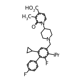 Cc1c(C(=O)O)ccn(C2CCN(Cc3cc(C4CC4)c(-c4ccc(F)cc4)c(F)c3C(C)C)CC2)c1=O